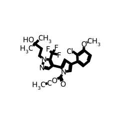 CCOC(=O)n1cc(-c2cccc(OC)c2Cl)cc1-c1cnn(CCC(C)(C)O)c1C(F)(F)F